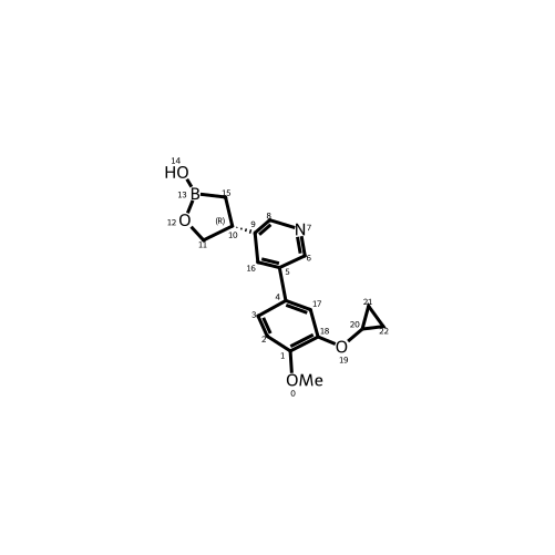 COc1ccc(-c2cncc([C@@H]3COB(O)C3)c2)cc1OC1CC1